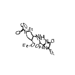 CCOC(=O)C(=O)N1CC[C@@H](NC(=O)c2nc(Cl)c(CC)[nH]2)[C@@H](OCC)C1